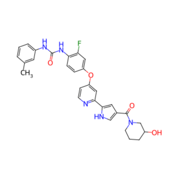 Cc1cccc(NC(=O)Nc2ccc(Oc3ccnc(-c4cc(C(=O)N5CCCC(O)C5)c[nH]4)c3)cc2F)c1